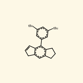 CC(C)(C)c1cc(-c2c3c(cc4c2CCC4)CC=C3)cc(C(C)(C)C)c1